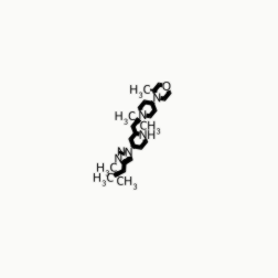 C[C@H]1COCCN1C1CCN(C(C)(C)CC2CC(n3cc(CC(C)(C)C)nn3)CCN2)CC1